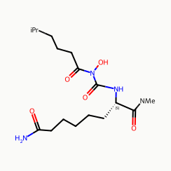 CNC(=O)[C@H](CCCCCC(N)=O)NC(=O)N(O)C(=O)CCCC(C)C